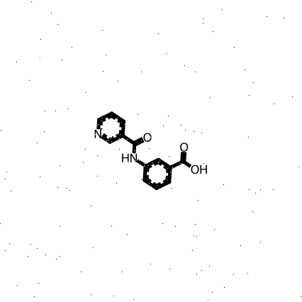 O=C(O)c1cccc(NC(=O)c2cccnc2)c1